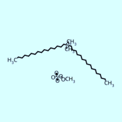 CCCCCCCCCCCCCCCC[N+](C)(C)CCCCCCCCCCCCCCCC.COOS(=O)(=O)[O-]